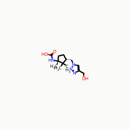 CC1(C)[C@@H](Cn2cc(CO)nn2)CC[C@@]1(C)NC(=O)O